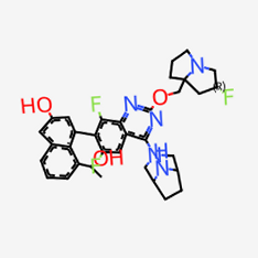 CC(O)c1cccc2cc(O)cc(-c3c(F)cc4c(N5CC6CCC(C5)N6)nc(OCC56CCCN5C[C@H](F)C6)nc4c3F)c12